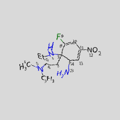 CCNC1(CCN(C)C)C(F)=CC([N+](=O)[O-])=CC1N